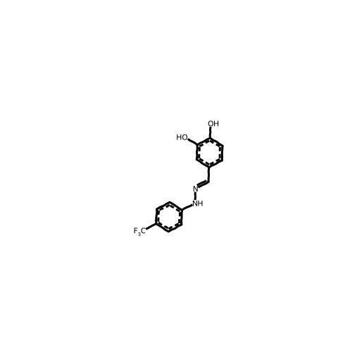 Oc1ccc(C=NNc2ccc(C(F)(F)F)cc2)cc1O